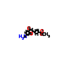 COC(=O)c1ccc(-c2cc(=O)c3ccc(N)cc3o2)cc1